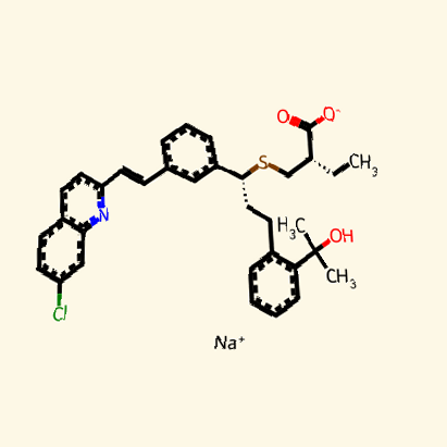 CC[C@H](CS[C@H](CCc1ccccc1C(C)(C)O)c1cccc(C=Cc2ccc3ccc(Cl)cc3n2)c1)C(=O)[O-].[Na+]